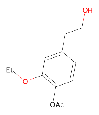 CCOc1cc(CCO)ccc1OC(C)=O